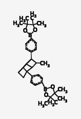 CC1C2C3C4C(CC24c2ccc(B4OC(C)(C)C(C)(C)O4)cc2)C13c1ccc(B2OC(C)(C)C(C)(C)O2)cc1